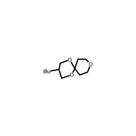 CCC(C)C1COC2(CCOCC2)OC1